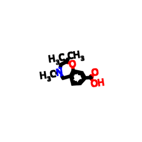 CN1Cc2ccc(C(=O)O)cc2OC(C)(C)C1